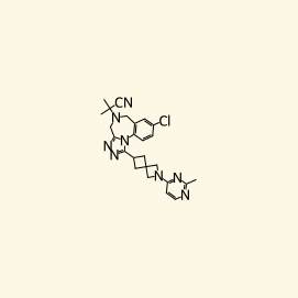 Cc1nccc(N2CC3(CC(c4nnc5n4-c4ccc(Cl)cc4CN(C(C)(C)C#N)C5)C3)C2)n1